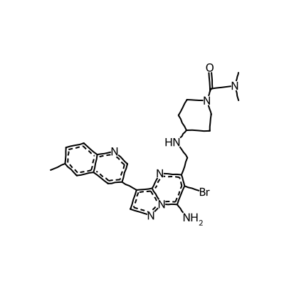 Cc1ccc2ncc(-c3cnn4c(N)c(Br)c(CNC5CCN(C(=O)N(C)C)CC5)nc34)cc2c1